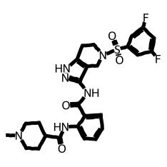 CN1CCC(C(=O)Nc2ccccc2C(=O)Nc2n[nH]c3c2CN(S(=O)(=O)c2cc(F)cc(F)c2)CC3)CC1